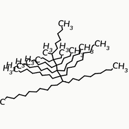 CCCCCCCCCCC[C](CCCCCCCCCC)C(CCCCCCCC)(CCCCCCCCC)C(CCCCCC)(CCCCCCC)C(CCCC)(CCCCC)C(CC)(CCC)C(C)CCCCCC